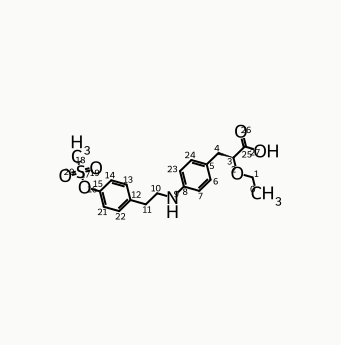 CCO[C@@H](Cc1ccc(NCCc2ccc(OS(C)(=O)=O)cc2)cc1)C(=O)O